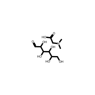 CN(C)CC(=O)O.O=CC(O)C(O)C(O)C(O)CO